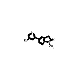 CCc1cncc(-c2ccc3c(c2)CC(=O)N3C)c1